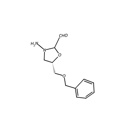 NN1C[C@@H](COCc2ccccc2)OC1C=O